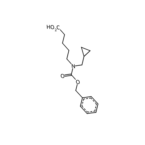 O=C(O)CCCCN(CC1CC1)C(=O)OCc1ccccc1